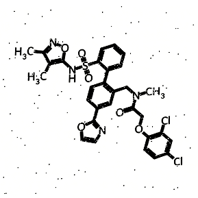 Cc1noc(NS(=O)(=O)c2ccccc2-c2ccc(-c3ncco3)cc2CN(C)C(=O)COc2ccc(Cl)cc2Cl)c1C